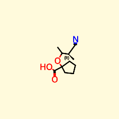 CC(OC1(C(=O)O)CCCC1)[C@H](C)C#N